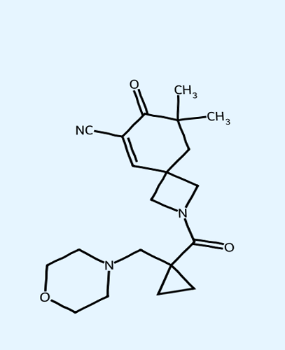 CC1(C)CC2(C=C(C#N)C1=O)CN(C(=O)C1(CN3CCOCC3)CC1)C2